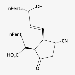 CCCCCC(C(=O)O)[C@@H]1C(=O)C[C@@H](C#N)[C@@H]1C=C[C@@H](O)CCCCC